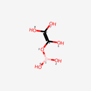 OB(O)OC(O)=C(O)O